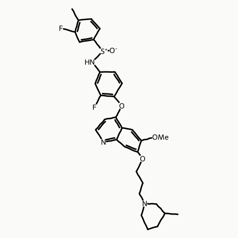 COc1cc2c(Oc3ccc(N[S+]([O-])c4ccc(C)c(F)c4)cc3F)ccnc2cc1OCCCN1CCCC(C)C1